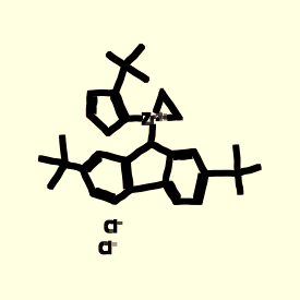 CC(C)(C)C1=[C]([Zr+2]2([CH]3c4cc(C(C)(C)C)ccc4-c4ccc(C(C)(C)C)cc43)[CH2][CH2]2)CC=C1.[Cl-].[Cl-]